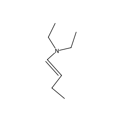 CCC=CN(CC)CC